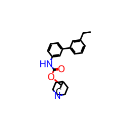 CCc1cccc(-c2cccc(NC(=O)OC3CN4CCC3CC4)c2)c1